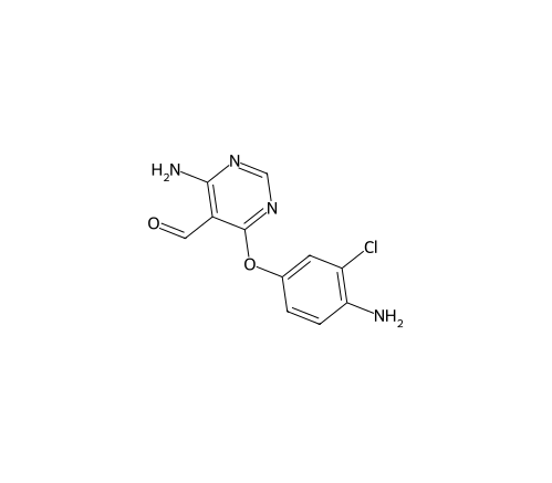 Nc1ccc(Oc2ncnc(N)c2C=O)cc1Cl